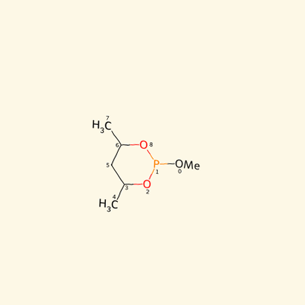 COP1OC(C)CC(C)O1